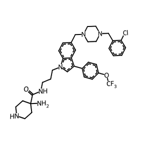 NC1(C(=O)NCCCn2cc(-c3ccc(OC(F)(F)F)cc3)c3cc(CN4CCN(Cc5ccccc5Cl)CC4)ccc32)CCNCC1